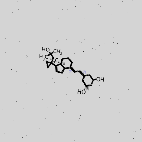 CC(C)(O)CC1(C2=CCC3/C(=C/C=C4/CC(O)C[C@H](O)C4)CCC[C@]23C)CC1